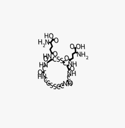 NC(CCC(=O)NC1CSSCC(NC(=O)CCC(N)C(=O)O)C(=O)NCC(=O)NCCSSCCNC(=O)CNC1=O)C(=O)O